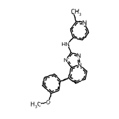 COc1cccc(-c2cccn3nc(Nc4ccnc(C)c4)nc23)c1